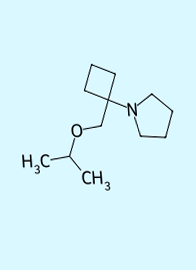 CC(C)OCC1(N2CCCC2)CCC1